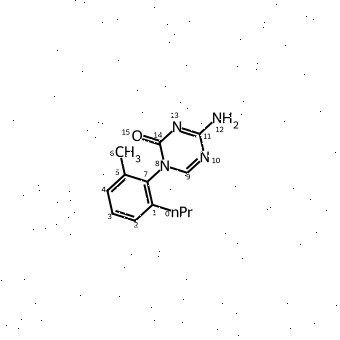 CCCc1cccc(C)c1-n1cnc(N)nc1=O